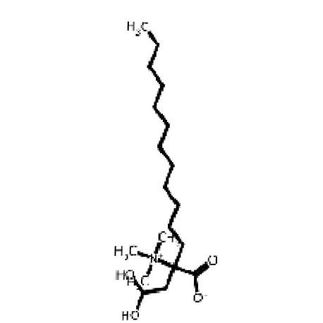 CCCCCCCCCCCCC(CC(O)O)(C(=O)[O-])[N+](C)(C)C